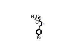 COC(=O)/C=C\Cc1ccc(Br)cc1